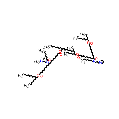 CCCCCCCCC(CCCCCC)COC(=O)CCCCCCCCC(CCCCCCCCC(=O)OCC(CCCCCCCC)CCCCCCC(CC)CC(CCCCCC)COC(=O)CCCCCCCCC(CCCCCCCCC(=O)OCC(CCCC)CCCCCC)C(=O)N(CCCCCCCC)CCCN1CCCC1)N(CCCN(C)C)C(=O)CCCCCCC